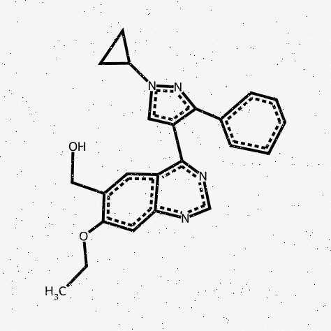 CCOc1cc2ncnc(-c3cn(C4CC4)nc3-c3ccccc3)c2cc1CO